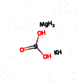 O=[Si](O)O.[KH].[MgH2]